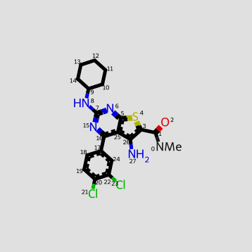 CNC(=O)c1sc2nc(NC3CCCCC3)nc(-c3ccc(Cl)c(Cl)c3)c2c1N